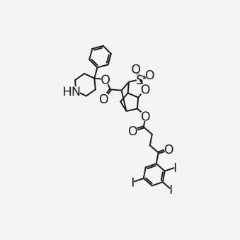 O=C(CCC(=O)c1cc(I)cc(I)c1I)OC1C2CC3C1OS(=O)(=O)C3C2C(=O)OC1(c2ccccc2)CCNCC1